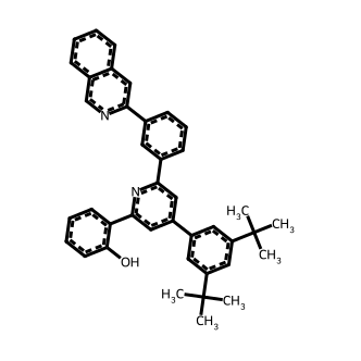 CC(C)(C)c1cc(-c2cc(-c3cccc(-c4cc5ccccc5cn4)c3)nc(-c3ccccc3O)c2)cc(C(C)(C)C)c1